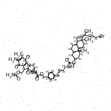 COC12C(COC(N)=O)C3=C(C(=O)C(C)=C(N)C3=O)N1CC1C2N1C(=O)OCc1ccc(SSCCNC(=O)OC2CCC3(C)C(CCC4C3CCC3(C)C(C(C)CCCC(C)C)CCC43)C2)cc1